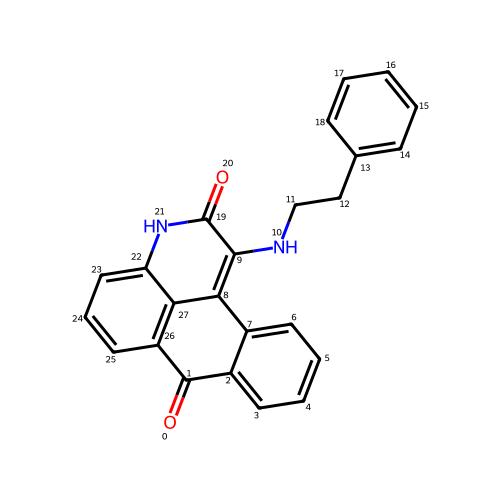 O=C1c2ccccc2-c2c(NCCc3ccccc3)c(=O)[nH]c3cccc1c23